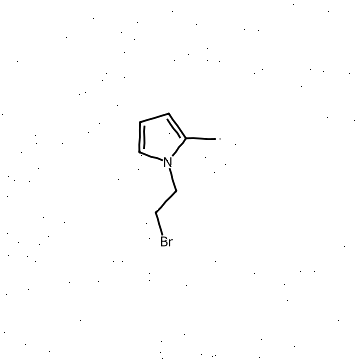 [CH2]c1cccn1CCBr